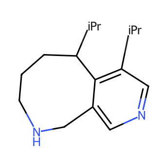 CC(C)c1cncc2c1C(C(C)C)CCCNC2